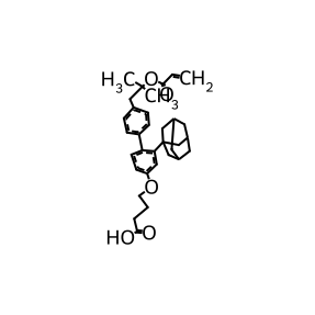 C=CC(=O)OC(C)(C)Cc1ccc(-c2ccc(OCCCC(=O)O)cc2C23CC4CC(CC(C4)C2)C3)cc1